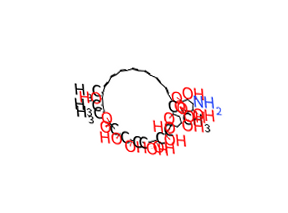 CC1OC(O[C@H]2/C=C/C=C/C=C/C=C/C=C/C=C/C=C/[C@H](C)[C@@H](O)[C@@H](C)[C@H](C)OC(=O)C[C@H](O)C[C@H](O)CC[C@@H](O)[C@H](O)C[C@H](O)C[C@]3(O)C[C@H](O)[C@@H](C(=O)O)C(C2)O3)C(O)C(N)C1O